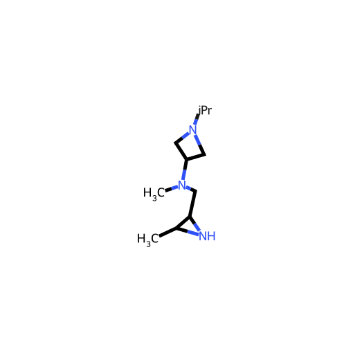 CC1NC1CN(C)C1CN(C(C)C)C1